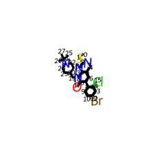 CSc1ncc2cc(-c3ccc(Br)cc3Cl)c(=O)n(CC3CCN(C(C)(C)C)CC3)c2n1